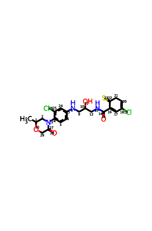 CC1CN(c2ccc(NCC(O)CNC(=O)C3=CC(Cl)=CCC3=S)cc2Cl)C(=O)CO1